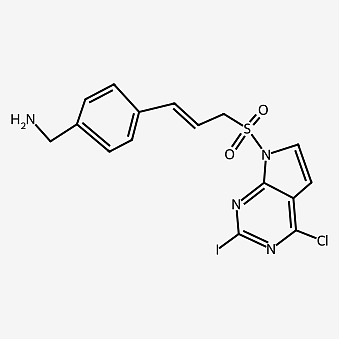 NCc1ccc(C=CCS(=O)(=O)n2ccc3c(Cl)nc(I)nc32)cc1